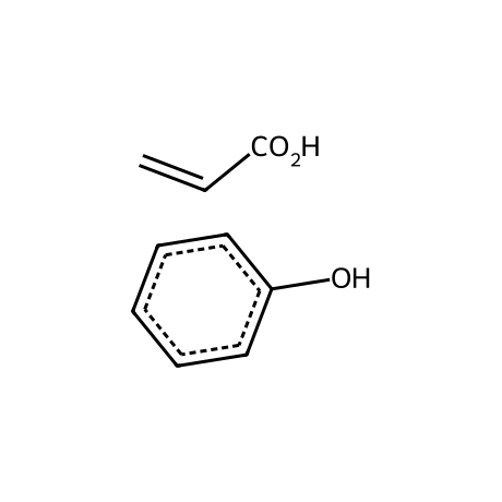 C=CC(=O)O.Oc1ccccc1